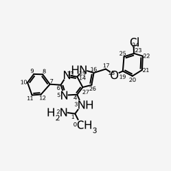 CC(N)Nc1nc(-c2ccccc2)nc2[nH]c(COc3cccc(Cl)c3)cc12